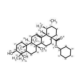 C[C@H]1[C@H](C)CC[C@]2(C(=O)OC3CCCCC3)CC[C@]3(C)C(=CC[C@@H]4[C@@]5(C)CC[C@H](O)C(C)(C)[C@@H]5CC[C@]43C)[C@H]12